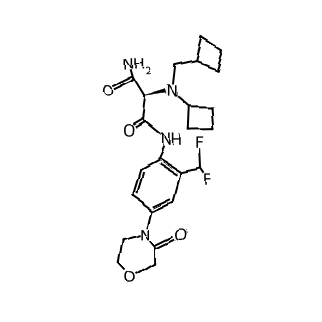 NC(=O)[C@H](C(=O)Nc1ccc(N2CCOCC2=O)cc1C(F)F)N(CC1CCC1)C1CCC1